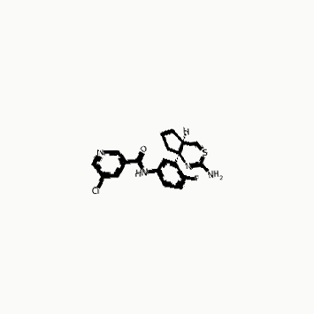 NC1=N[C@@]2(c3cc(NC(=O)c4cncc(Cl)c4)ccc3F)CCC[C@H]2CS1